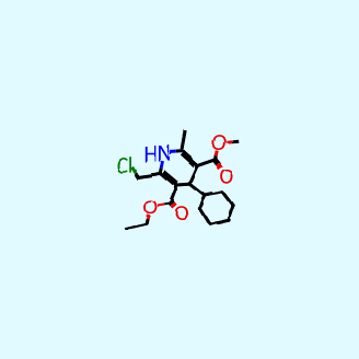 CCOC(=O)C1=C(CCl)NC(C)=C(C(=O)OC)C1C1CCCCC1